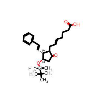 CC(C)(C)[Si](C)(C)O[C@@H]1CC(=O)C(CC=CCCCC(=O)O)[C@H]1C=Cc1ccccc1